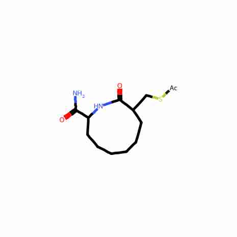 CC(=O)SCC1CCCCCCC(C(N)=O)NC1=O